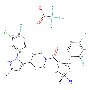 Cc1cc(C2CCN(C(=O)[C@@H]3C[C@@](C)(N)C[C@H]3c3ccc(F)cc3F)CC2)n(-c2ccc(F)c(Cl)c2)n1.O=C(O)C(F)(F)F